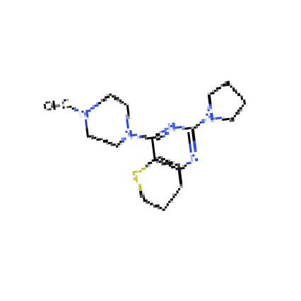 O=CN1CCN(c2nc(N3CCCC3)nc3c2SCCC3)CC1